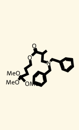 COC(CCCOC(=O)C(C)CN(Cc1ccccc1)Cc1ccccc1)(OC)OC